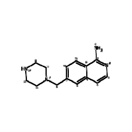 Nc1nccc2cc(CN3CCNCC3)ccc12